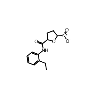 CCc1ccccc1NC(=O)C1CCC([N+](=O)[O-])O1